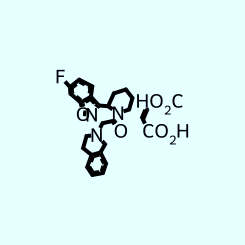 O=C(CN1CCc2ccccc2C1)N1CCCCC1c1noc2cc(F)ccc12.O=C(O)/C=C/C(=O)O